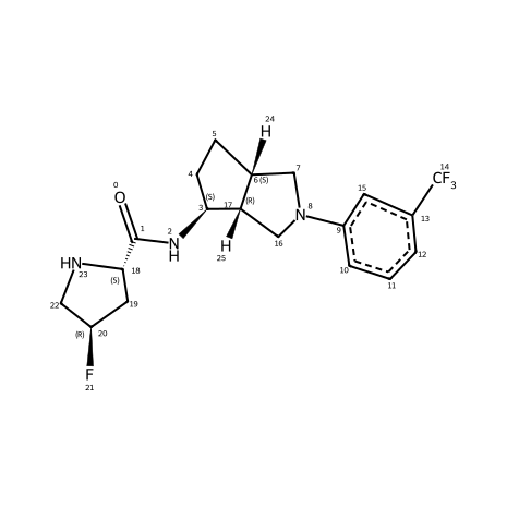 O=C(N[C@H]1CC[C@@H]2CN(c3cccc(C(F)(F)F)c3)C[C@@H]21)[C@@H]1C[C@@H](F)CN1